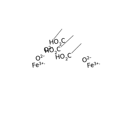 CC(=O)O.CC(=O)O.CC(=O)O.[Fe+3].[Fe+3].[O-2].[O-2].[O-2]